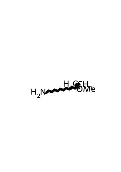 CO[Si](C)(C)CCCCCCCCCCCN